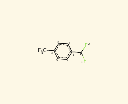 F[C](F)c1ccc(C(F)(F)F)cc1